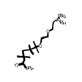 CC(C)C(=O)C(C)(C)CC(C)(C)C(C)(C)OCCOCCNC(C)(C)C